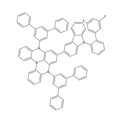 Fc1cc(F)cc(-c2ccccc2-n2c3ccccc3c3cc(-c4cc5c6c(c4)N(c4cc(-c7ccccc7)cc(-c7ccccc7)c4)c4ccccc4B6c4ccccc4N5c4cc(-c5ccccc5)cc(-c5ccccc5)c4)ccc32)c1